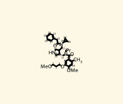 COCCCOc1cc(C(=O)N(C[C@@H]2CNCC2CN(C(=O)Cc2ccccc2)C2CC2)C(C)C)c(C)cc1OC